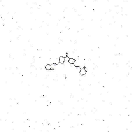 C[n+]1ccccc1/C=C/c1ccc2[nH]c3ccc(/C=C/c4cccc[n+]4C)cc3c2c1.[I-].[I-]